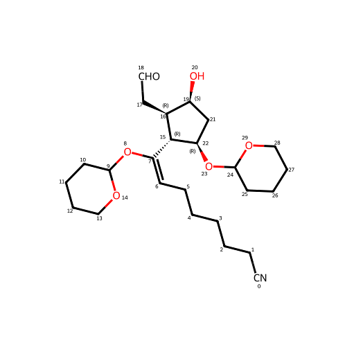 N#CCCCCCC=C(OC1CCCCO1)[C@@H]1[C@@H](CC=O)[C@@H](O)C[C@H]1OC1CCCCO1